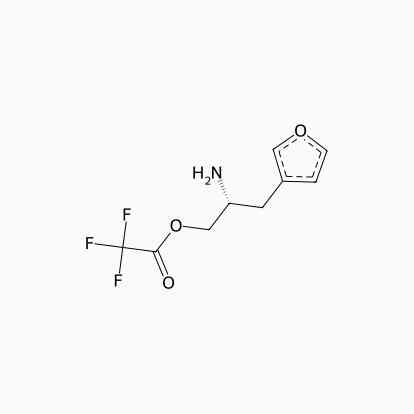 N[C@@H](COC(=O)C(F)(F)F)Cc1ccoc1